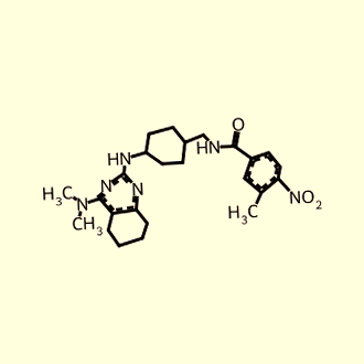 Cc1cc(C(=O)NCC2CCC(Nc3nc4c(c(N(C)C)n3)CCCC4)CC2)ccc1[N+](=O)[O-]